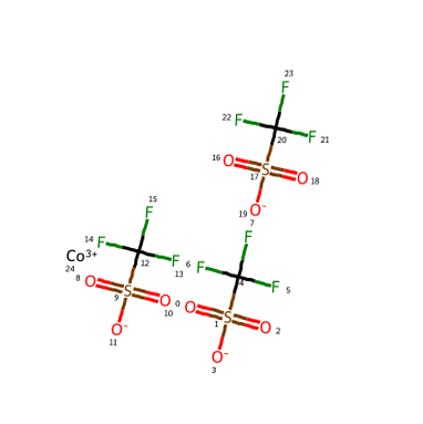 O=S(=O)([O-])C(F)(F)F.O=S(=O)([O-])C(F)(F)F.O=S(=O)([O-])C(F)(F)F.[Co+3]